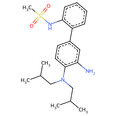 CC(C)CN(CC(C)C)c1ccc(-c2ccccc2NS(C)(=O)=O)cc1N